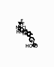 Cc1cc2cnc(Nc3cnn(C4CC4(F)F)c3Cl)nc2cc1C1CCN(C2COC[C@H]2O)CC1